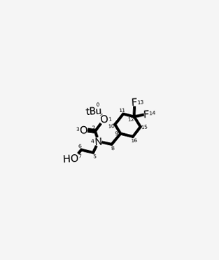 CC(C)(C)OC(=O)N(CCO)CC1CCC(F)(F)CC1